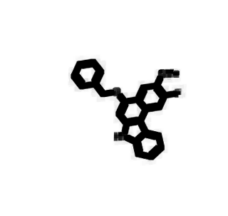 COc1cc2c(OCc3ccccc3)cc3[nH]c4ccccc4c3c2cc1F